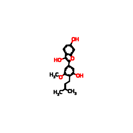 COc1cc(-c2oc3cc(O)ccc3c2O)cc(O)c1CC=C(C)C